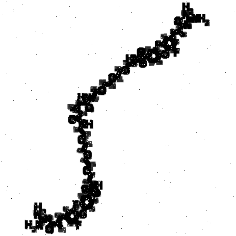 C/C(=C\c1cc(F)c(Oc2ccc(S(=O)(=O)NCCOCCOCCOCCNC(=O)CN(C)CC(=O)NCCOCCOCCOCCNS(=O)(=O)c3ccc(Oc4c(F)cc(/C=C(\C)C(=O)N=C(N)N)cc4F)cc3)cc2)c(F)c1)C(=O)N=C(N)N